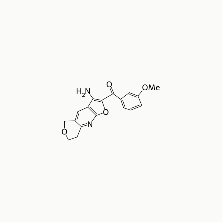 COc1cccc(C(=O)c2oc3nc4c(cc3c2N)COCC4)c1